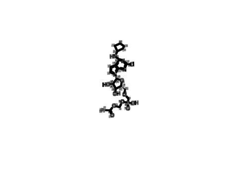 CC(C)C(=O)OCOP(=O)(O)COC[C@H]1O[C@@H](n2ccc3c(NC4CCCC4)nc(Cl)nc32)[C@H](O)[C@@H]1O